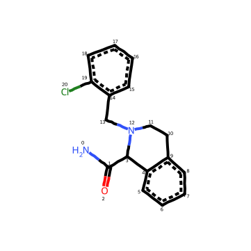 NC(=O)C1c2cc[c]cc2CCN1Cc1ccccc1Cl